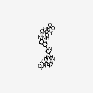 COC(=O)N[C@H](C(=O)N1CCC[C@H]1c1nc2ccc3cc(-c4ccc(-c5cnc([C@@H]6CCCN6C(=O)[C@@H](NC(C)=O)C(C)C)[nH]5)cn4)ccc3c2[nH]1)C(C)C